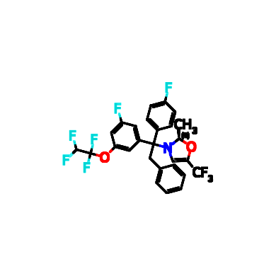 C[C@H]1OC(C(F)(F)F)=CN1C(Cc1ccccc1)(c1ccc(F)cc1)c1cc(F)cc(OC(F)(F)C(F)F)c1